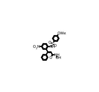 COc1ccc(S(=O)(=O)Nc2ccc([N+](=O)[O-])cc2C(=CC(=O)NO)c2ccccc2)cc1